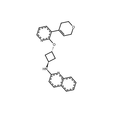 C1=C(c2cccnc2O[C@H]2C[C@H](Nc3ccc4ccccc4n3)C2)CCOC1